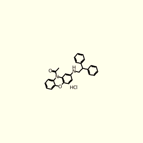 CC(=O)N1c2ccccc2Oc2ccc(NCC(c3ccccc3)c3ccccc3)cc21.Cl